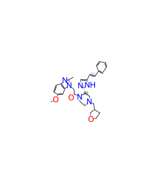 COc1ccc2nc(C)n(CC(=O)N3CCN(CC4CCOC4)C[C@H]3c3ncc(/C=C/c4ccccc4)[nH]3)c2c1